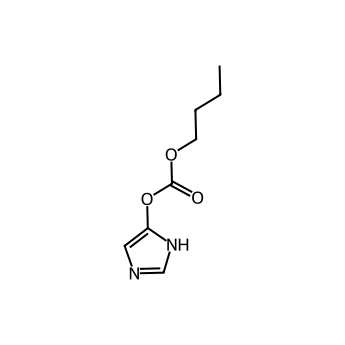 CCCCOC(=O)Oc1cnc[nH]1